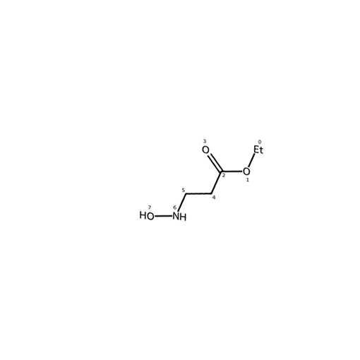 CCOC(=O)CCNO